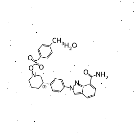 Cc1ccc(S(=O)(=O)ON2CCC[C@@H](c3ccc(-n4cc5cccc(C(N)=O)c5n4)cc3)C2)cc1.O